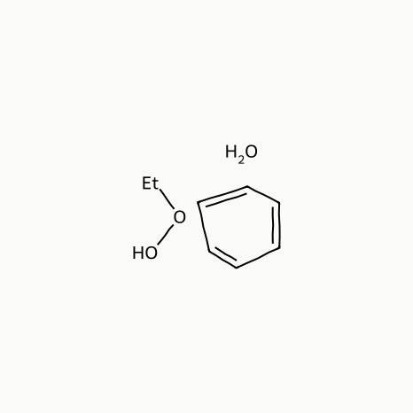 CCOO.O.c1ccccc1